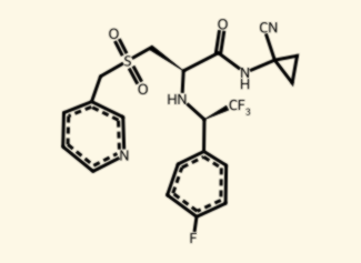 N#CC1(NC(=O)[C@H](CS(=O)(=O)Cc2cccnc2)N[C@H](c2ccc(F)cc2)C(F)(F)F)CC1